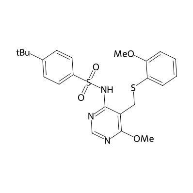 COc1ccccc1SCc1c(NS(=O)(=O)c2ccc(C(C)(C)C)cc2)ncnc1OC